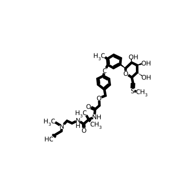 C#CCN(C)CCNC(=O)C(C)(C)NC(=O)COCc1ccc(Cc2cc([C@@H]3OC(C#SC)[C@@H](O)[C@H](O)[C@H]3O)ccc2C)cc1